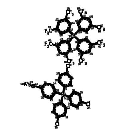 Clc1ccc([B-](c2ccc(Cl)cc2)(c2ccc(Cl)cc2)c2ccc(Cl)cc2)cc1.FC(F)(F)c1cc([B-](c2cc(C(F)(F)F)cc(C(F)(F)F)c2)(c2cc(C(F)(F)F)cc(C(F)(F)F)c2)c2cc(C(F)(F)F)cc(C(F)(F)F)c2)cc(C(F)(F)F)c1.[K+].[Na+]